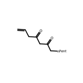 C=CCC(=O)CC(=O)CCCCCC